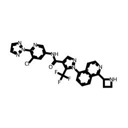 O=C(Nc1cnc(-n2nccn2)c(Cl)c1)c1cnn(-c2cccc3c(C4CCN4)nccc23)c1C(F)(F)F